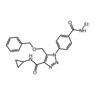 CCNC(=O)c1ccc(-n2nnc(C(=O)NC3CC3)c2COCc2ccccc2)cc1